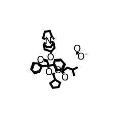 CC(C)CC(=O)OC(OC(C(=O)OC1CC2CCC(C1)[N+]21CCCC1)(c1ccccc1)c1ccccc1)C1CCCC1.O=C[O-]